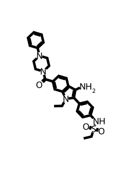 CCn1c(-c2ccc(NS(=O)(=O)CC)cc2)c(N)c2ccc(C(=O)N3CCN(c4ccccc4)CC3)cc21